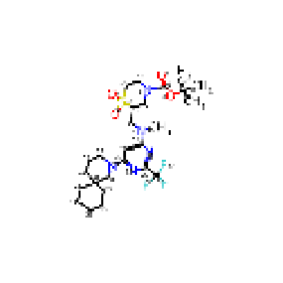 CN(CC1CN(C(=O)OC(C)(C)C)CCS1(=O)=O)c1cc(N2CCCC3(CCCCC3)C2)nc(C(F)(F)F)n1